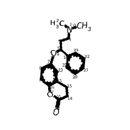 CN(C)CCC(Oc1ccc2c(c1)CCC(=O)O2)c1ccccc1